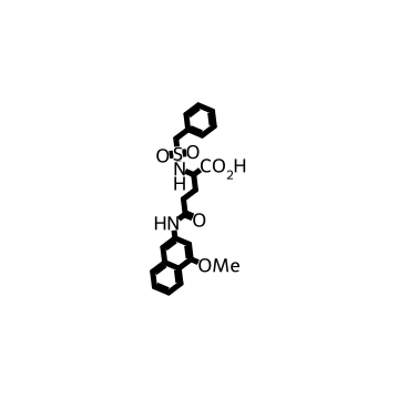 COc1cc(NC(=O)CCC(NS(=O)(=O)Cc2ccccc2)C(=O)O)cc2ccccc12